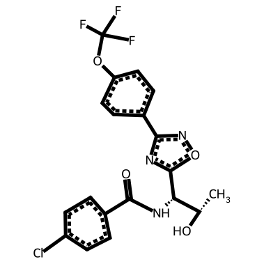 C[C@H](O)[C@H](NC(=O)c1ccc(Cl)cc1)c1nc(-c2ccc(OC(F)(F)F)cc2)no1